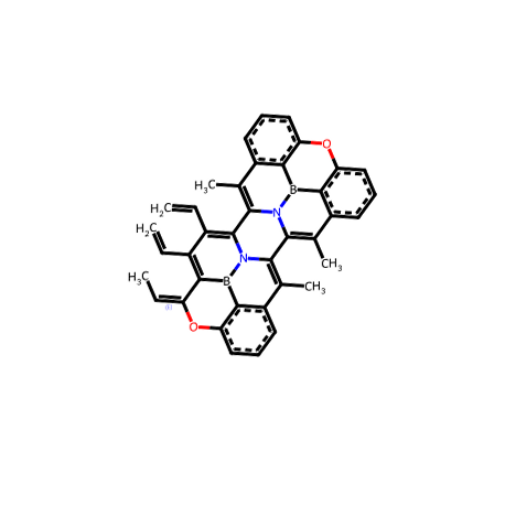 C=CC1=C2B3c4c(cccc4C(C)=C4C5=C(C)c6cccc7c6B6c8c(cccc8C(C)=C(C(=C1C=C)N34)N65)O7)O/C2=C/C